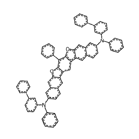 c1ccc(-c2cccc(N(c3ccccc3)c3ccc4cc5c(cc4c3)oc3c(-c4ccccc4)c4oc6cc7cc(N(c8ccccc8)c8cccc(-c9ccccc9)c8)ccc7cc6c4cc35)c2)cc1